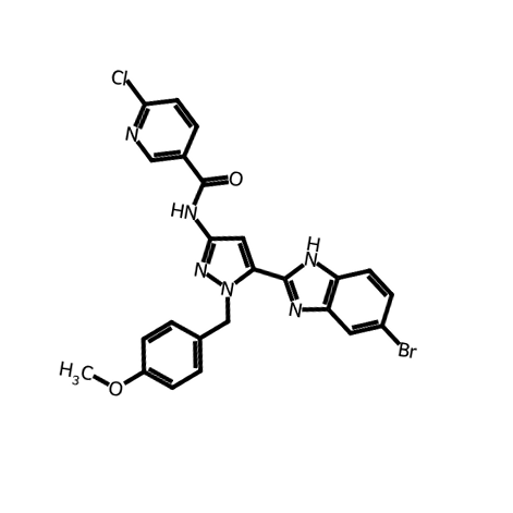 COc1ccc(Cn2nc(NC(=O)c3ccc(Cl)nc3)cc2-c2nc3cc(Br)ccc3[nH]2)cc1